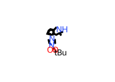 CC1(C)Cc2c(cccc2N2CCN(C(=O)OC(C)(C)C)CC2)CN1